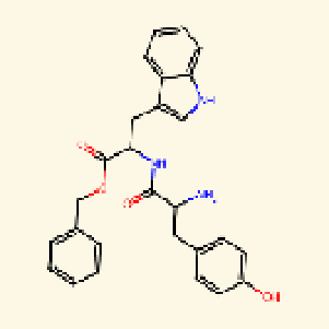 NC(Cc1ccc(O)cc1)C(=O)NC(Cc1c[nH]c2ccccc12)C(=O)OCc1ccccc1